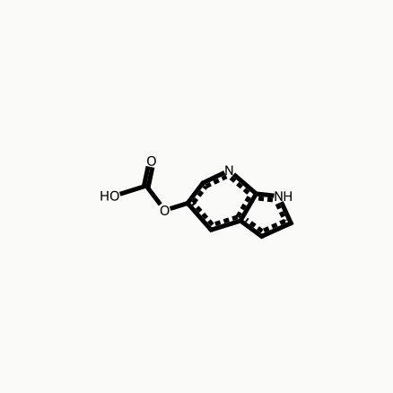 O=C(O)Oc1cnc2[nH]ccc2c1